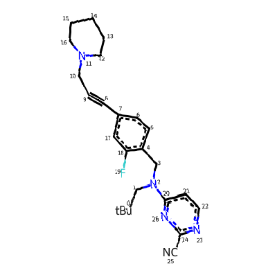 CC(C)(C)CN(Cc1ccc(C#CCN2CCCCC2)cc1F)c1ccnc(C#N)n1